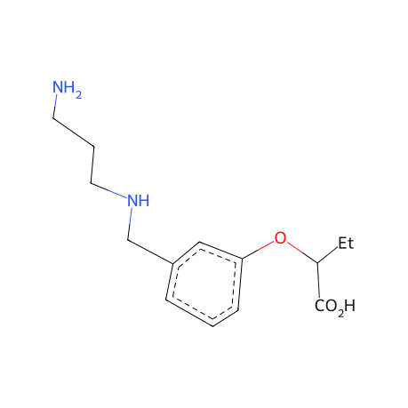 CCC(Oc1cccc(CNCCCN)c1)C(=O)O